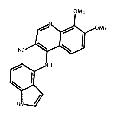 COc1ccc2c(Nc3cccc4[nH]ccc34)c(C#N)cnc2c1OC